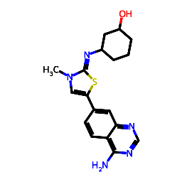 Cn1cc(-c2ccc3c(N)ncnc3c2)s/c1=N\C1CCCC(O)C1